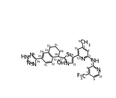 Cc1cc(Nc2cc(C(F)(F)F)ccn2)nc(-c2cnc([C@]3(O)CCCc4cc(-c5nn[nH]n5)ccc43)s2)c1